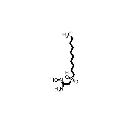 CCCCCCCCCCP(=O)(O)CC(N)=NO